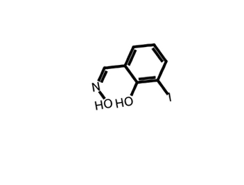 O/N=C\c1cccc(I)c1O